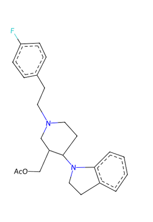 CC(=O)OCC1CN(CCc2ccc(F)cc2)CCC1N1CCc2ccccc21